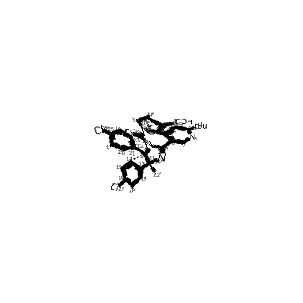 CCOc1cc(C(C)(C)C)ncc1C1=N[C@](C)(c2ccc(Cl)cc2)[C@@](C)(c2ccc(Cl)cc2)N1C(=O)N1CCC(O)C1